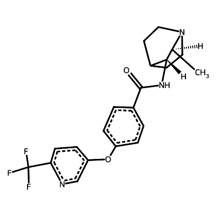 C[C@H]1[C@H](NC(=O)c2ccc(Oc3ccc(C(F)(F)F)nc3)cc2)C2CCN1CC2